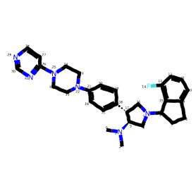 CN(C)[C@@H]1CN(C2CCc3cccc(F)c32)C[C@H]1c1ccc(N2CCN(c3ccncn3)CC2)cc1